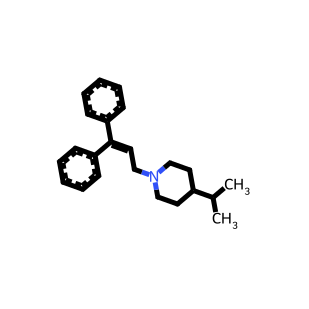 CC(C)C1CCN(CC=C(c2ccccc2)c2ccccc2)CC1